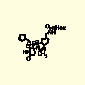 CCCCCCC(=O)NCc1ccc2nc(C)n([C@]3(C(=O)OCc4ccccc4)CCC(=O)NC3=O)c(=O)c2c1